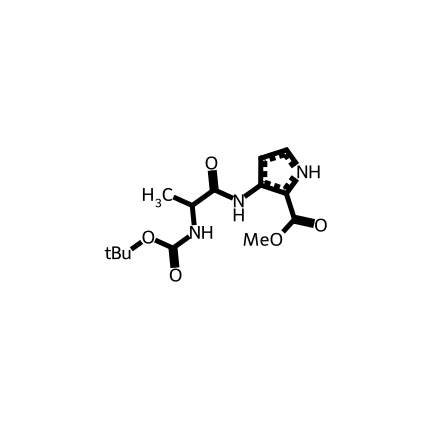 COC(=O)c1[nH]ccc1NC(=O)C(C)NC(=O)OC(C)(C)C